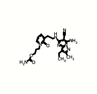 CCc1c(C)nn2c(N)c(C#N)c(NCCc3cccn(CCCOC(N)=O)c3=O)nc12